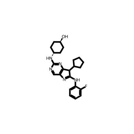 O[C@H]1CC[C@H](Nc2ncc3c(n2)C(C2CCCC2)C(Nc2ccccc2F)=N3)CC1